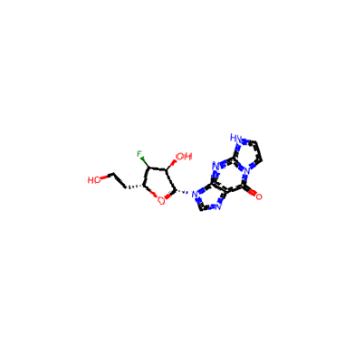 O=c1c2ncn([C@@H]3O[C@H](CCO)[C@@H](F)[C@H]3O)c2nc2[nH]ccn12